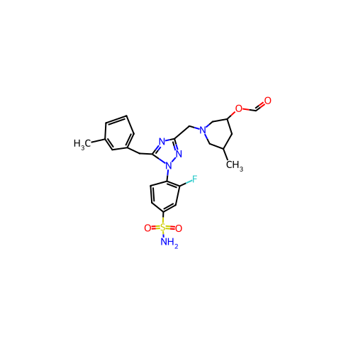 Cc1cccc(Cc2nc(CN3CC(C)CC(OC=O)C3)nn2-c2ccc(S(N)(=O)=O)cc2F)c1